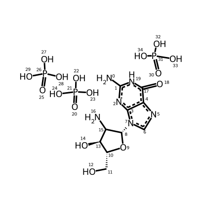 Nc1nc2c(ncn2[C@@H]2O[C@H](CO)[C@@H](O)C2N)c(=O)[nH]1.O=P(O)(O)O.O=P(O)(O)O.O=P(O)(O)O